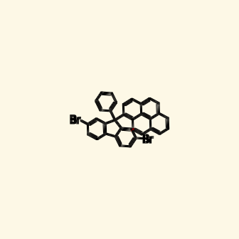 Brc1ccc2c(c1)C(c1ccccc1)(c1ccc3ccc4cccc5ccc1c3c45)c1cc(Br)ccc1-2